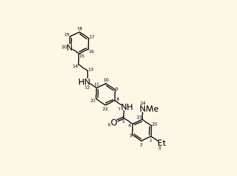 CCc1ccc(C(=O)Nc2ccc(NCCc3ccccn3)cc2)c(NC)c1